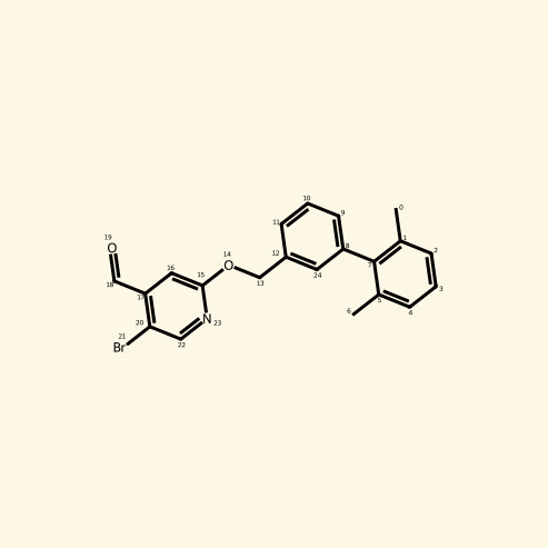 Cc1cccc(C)c1-c1cccc(COc2cc(C=O)c(Br)cn2)c1